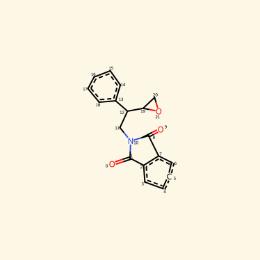 O=C1c2ccccc2C(=O)N1CC(c1ccccc1)C1CO1